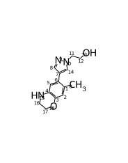 Cc1cc2c(cc1-c1cnn(CCO)c1)NCCO2